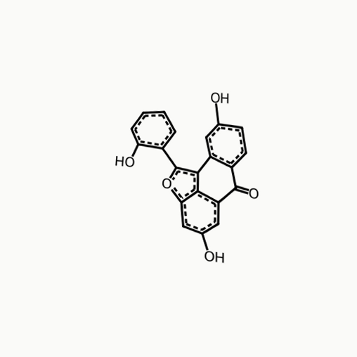 O=C1c2ccc(O)cc2-c2c(-c3ccccc3O)oc3cc(O)cc1c23